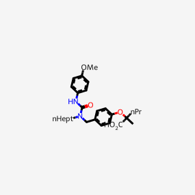 CCCCCCCN(Cc1ccc(OC(C)(CCC)C(=O)O)cc1)C(=O)Nc1ccc(OC)cc1